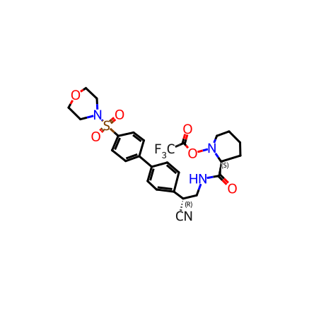 N#C[C@@H](CNC(=O)[C@@H]1CCCCN1OC(=O)C(F)(F)F)c1ccc(-c2ccc(S(=O)(=O)N3CCOCC3)cc2)cc1